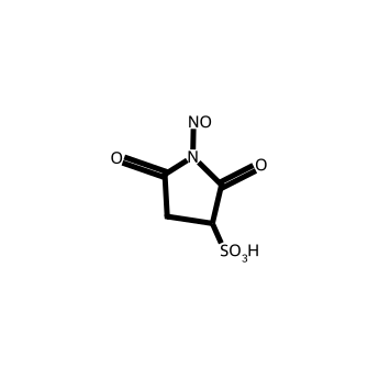 O=NN1C(=O)CC(S(=O)(=O)O)C1=O